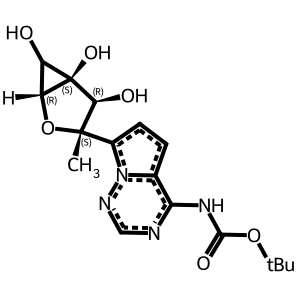 CC(C)(C)OC(=O)Nc1ncnn2c([C@]3(C)O[C@@H]4C(O)[C@]4(O)[C@H]3O)ccc12